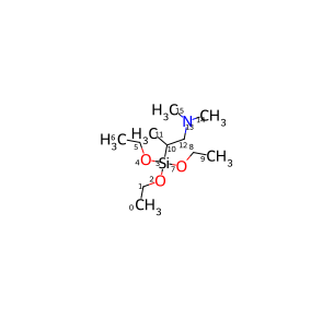 CCO[Si](OCC)(OCC)C(C)CN(C)C